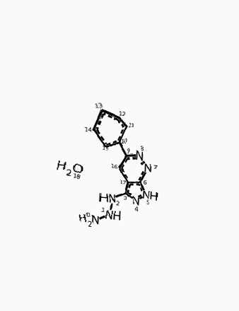 NNNc1n[nH]c2nnc(-c3ccccc3)cc12.O